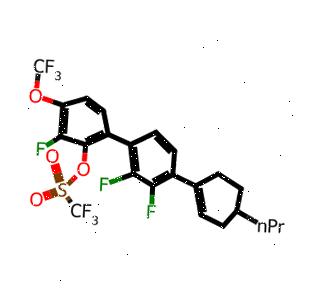 CCCC1CC=C(c2ccc(-c3ccc(OC(F)(F)F)c(F)c3OS(=O)(=O)C(F)(F)F)c(F)c2F)CC1